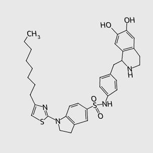 CCCCCCCCc1csc(N2CCc3cc(S(=O)(=O)Nc4ccc(CC5NCCc6cc(O)c(O)cc65)cc4)ccc32)n1